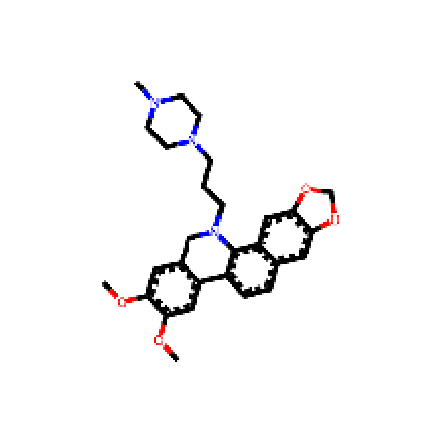 COc1cc2c(cc1OC)-c1ccc3cc4c(cc3c1N(CCCN1CCN(C)CC1)C2)OCO4